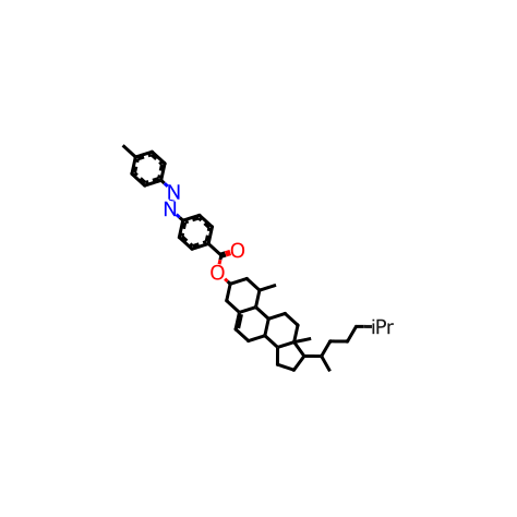 Cc1ccc(N=Nc2ccc(C(=O)OC3CC4=CCC5C(CCC6(C)C(C(C)CCCC(C)C)CCC56)C4C(C)C3)cc2)cc1